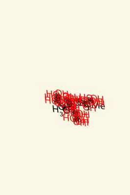 CO[C@@H](C(O)CO[C@@H](OCCO)[C@@H](O)C(O)CO)[C@@H](OCCO)OC1CCC2(C)C(CCC3C2CCC2(C)C(C(C)CCCOCC(COCCCC(C)C4CCC5C6CCC7CC(O[C@H]8OC[C@H](O[C@@H]9OC(CO)CC(O)[C@H]9O)C(O)[C@H]8O)CCC7(C)C6CCC45C)(CO[C@@H](OCCO)[C@H](O)C(O)CO[C@@H]4OC(CO)[C@H](O)C(O)[C@H]4O)CO[C@@H]4OC(CO)[C@@H](O[C@@H](OCCO)[C@@H](O)C(O)CO)C(O)[C@@H]4O)CCC32)C1